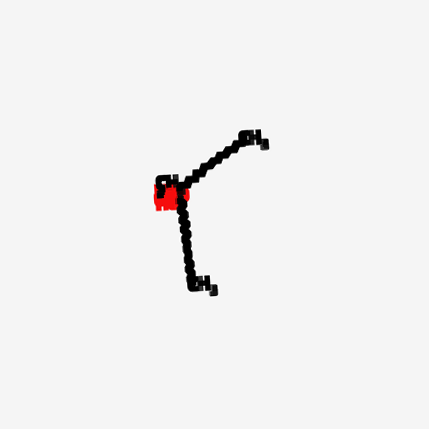 CC(O)CO.CCCCCCCCCCCCCCCCCC(O)OC(O)CCCCCCCCCCCCCCCCC